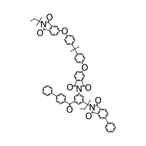 CCC(C)(C)N1C(=O)c2ccc(Oc3ccc(C(C)(C)c4ccc(Oc5ccc6c(c5)C(=O)N(c5cc(C(=O)c7ccc(-c8ccccc8)cc7)cc(C(C)(CC)N7C(=O)c8ccc(-c9ccccc9)cc8C7=O)c5)C6=O)cc4)cc3)cc2C1=O